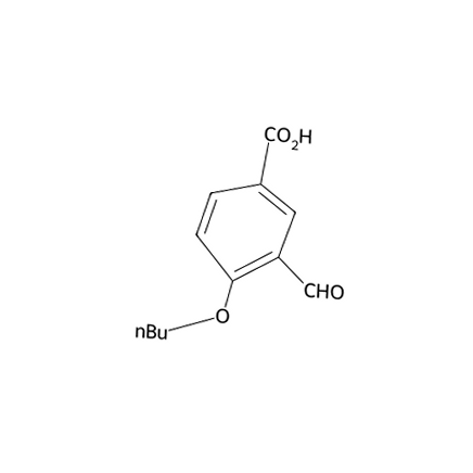 CCCCOc1ccc(C(=O)O)cc1C=O